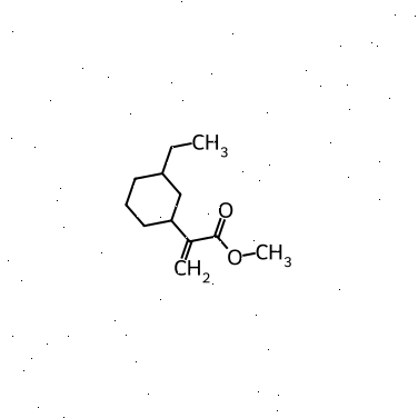 C=C(C(=O)OC)C1CCCC(CC)C1